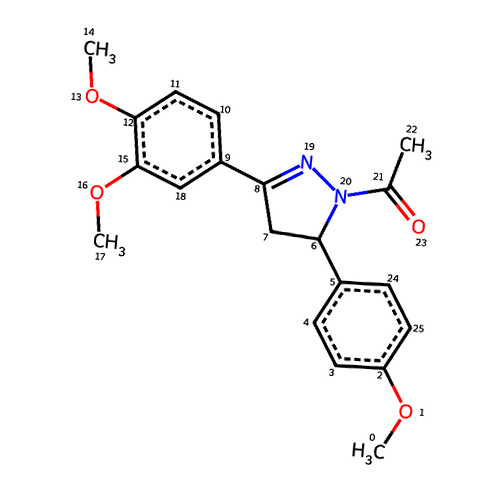 COc1ccc(C2CC(c3ccc(OC)c(OC)c3)=NN2C(C)=O)cc1